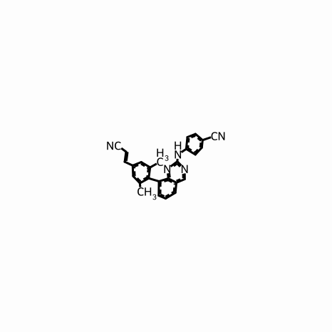 Cc1cc(C=CC#N)cc(C)c1-c1cccc2cnc(Nc3ccc(C#N)cc3)nc12